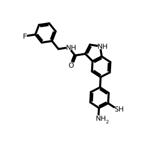 Nc1ccc(-c2ccc3[nH]cc(C(=O)NCc4cccc(F)c4)c3c2)cc1S